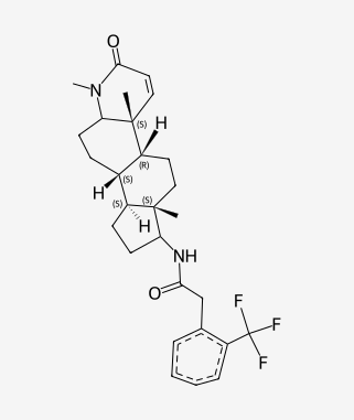 CN1C(=O)C=C[C@@]2(C)C1CC[C@@H]1[C@H]2CC[C@]2(C)C(NC(=O)Cc3ccccc3C(F)(F)F)CC[C@@H]12